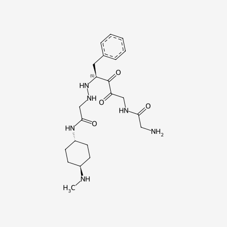 CN[C@H]1CC[C@H](NC(=O)CNN[C@@H](Cc2ccccc2)C(=O)C(=O)CNC(=O)CN)CC1